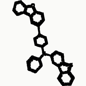 c1ccc(N(c2ccc(-c3ccc4oc5ccccc5c4c3)cc2)c2ccc3sc4ccccc4c3c2)cc1